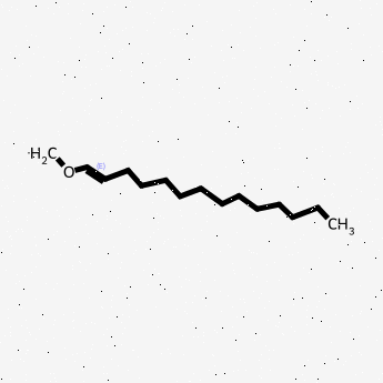 [CH2]O/C=C/CCCCCCCCCCCC